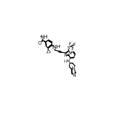 CNC(=O)c1ccc(NCC#Cc2nc3c(N[C@@H]4CCn5cncc5C4)cccn3c2SC(F)(F)F)c(OC)c1